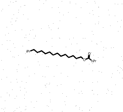 CCCC(=O)OCCCCCCCCCCCCCC(C)C